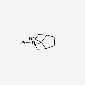 CCC1(O)C2CCC1CN(C(C)C)C2